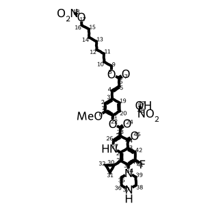 COc1cc(C=CC(=O)OCCCCCCCCO[N+](=O)[O-])ccc1OC(=O)c1c[nH]c2c(C3CC3)c(N3CCNCC3)c(F)cc2c1=O.O=[N+]([O-])O